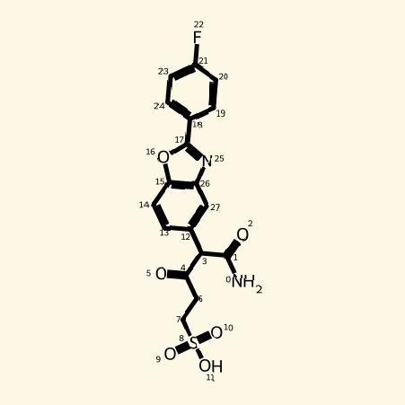 NC(=O)C(C(=O)CCS(=O)(=O)O)c1ccc2oc(-c3ccc(F)cc3)nc2c1